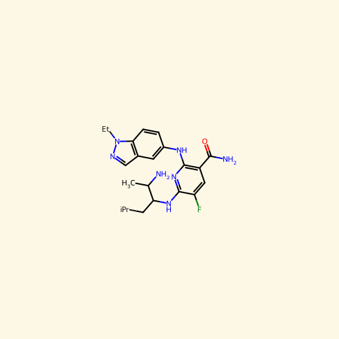 CCn1ncc2cc(Nc3nc(NC(CC(C)C)C(C)N)c(F)cc3C(N)=O)ccc21